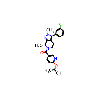 CC(C)Oc1ccc(C(=O)N2CCc3c(nn(C)c3-c3cccc(Cl)c3)[C@@H]2C)cn1